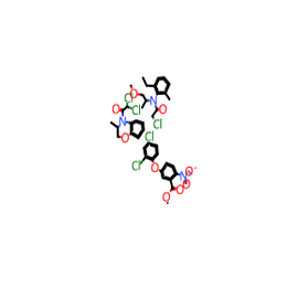 CC1COc2ccccc2N1C(=O)C(Cl)Cl.CCc1cccc(C)c1N(C(=O)CCl)C(C)COC.COC(=O)c1cc(Oc2ccc(Cl)cc2Cl)ccc1[N+](=O)[O-]